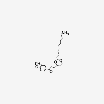 CCCCCCCCCCC1OCCC(CCC(=O)c2ccc(OC)cc2)O1